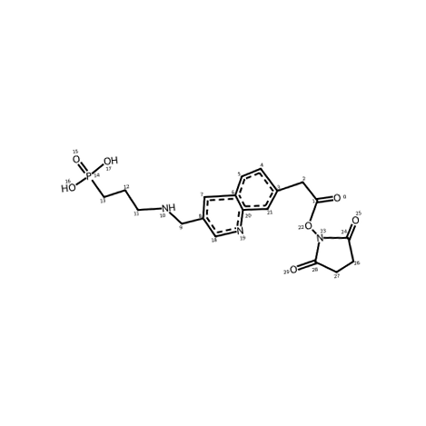 O=C(Cc1ccc2cc(CNCCCP(=O)(O)O)cnc2c1)ON1C(=O)CCC1=O